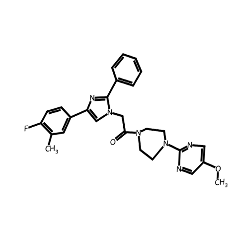 COc1cnc(N2CCN(C(=O)Cn3cc(-c4ccc(F)c(C)c4)nc3-c3ccccc3)CC2)nc1